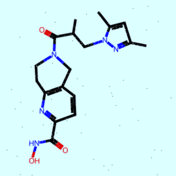 Cc1cc(C)n(CC(C)C(=O)N2CCc3nc(C(=O)NO)ccc3C2)n1